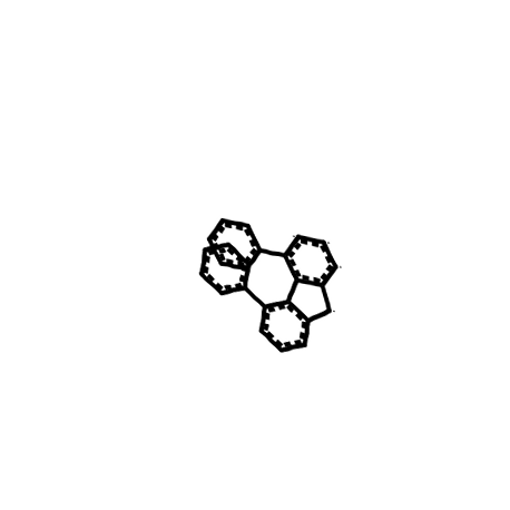 [c]1[c]c2c(c(-c3ccccc3)[c]1)-c1c(cccc1-c1ccccc1)[CH]2